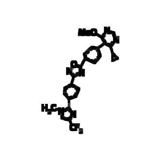 COc1ncnc(C2CC2)c1-c1ccc(-c2nc(-c3ccc(-c4nc(C(F)(F)F)cn4C)cc3)no2)cc1